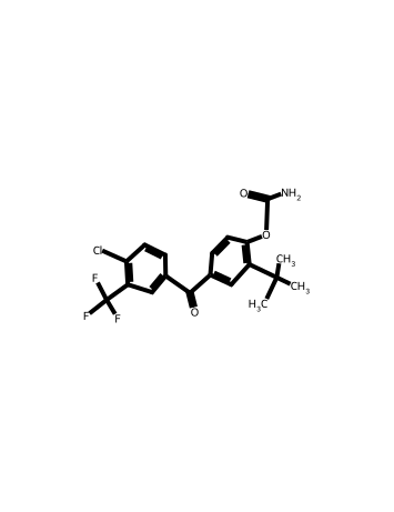 CC(C)(C)c1cc(C(=O)c2ccc(Cl)c(C(F)(F)F)c2)ccc1OC(N)=O